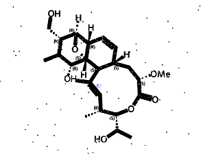 CO[C@H]1C[C@H]2C=C[C@H]3[C@H]4O[C@]2(/C(C)=C/[C@@H](C)[C@@H](C(C)O)OC1=O)[C@@H]3[C@H](O)C(C)[C@@H]4CO